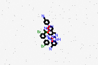 N#Cc1ccc(Nc2ncc(-c3ccccc3Br)c(C(=NN(C(N)=O)c3ccc(Br)cc3)c3nc(Nc4ccc(C#N)cc4)ncc3-c3ccccc3Br)n2)cc1